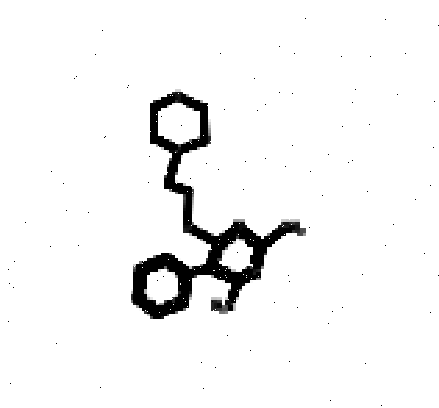 Nc1nc(N)c(-c2ccccc2)c(OCCN2CCOCC2)n1